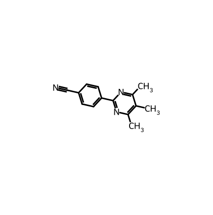 Cc1nc(-c2ccc(C#N)cc2)nc(C)c1C